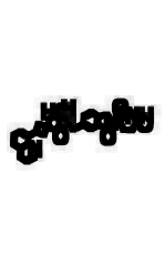 Cl.O=C1CC[C@H](N2Cc3ccc(CNC(=O)OC4CC(c5cccc6cccnc56)C4)cc3C2=O)C(=O)N1